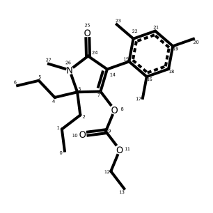 CCCC1(CCC)C(OC(=O)OCC)=C(c2c(C)cc(C)cc2C)C(=O)N1C